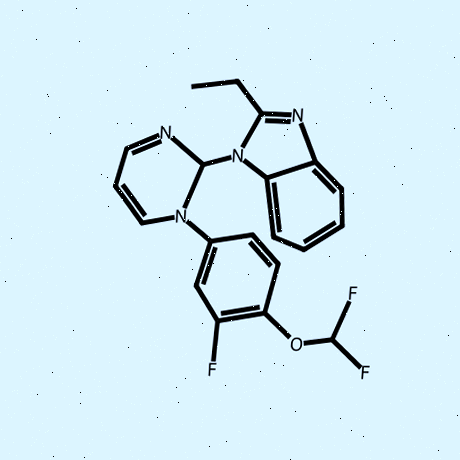 CCc1nc2ccccc2n1C1N=CC=CN1c1ccc(OC(F)F)c(F)c1